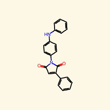 O=C1C=C(c2ccccc2)C(=O)N1c1ccc(Nc2ccccc2)cc1